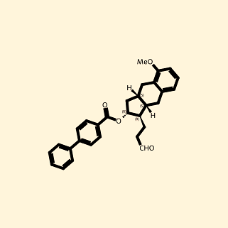 COc1cccc2c1C[C@H]1C[C@@H](OC(=O)c3ccc(-c4ccccc4)cc3)[C@H](CCC=O)[C@H]1C2